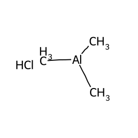 Cl.[CH3][Al]([CH3])[CH3]